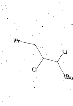 CC(C)CC(Cl)C(Cl)C(C)(C)C